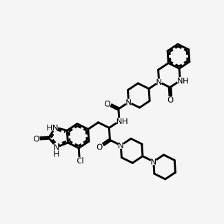 O=C(NC(Cc1cc(Cl)c2[nH]c(=O)[nH]c2c1)C(=O)N1CCC(N2CCCCC2)CC1)N1CCC(N2Cc3ccccc3NC2=O)CC1